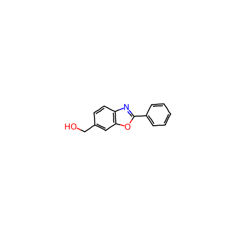 OCc1ccc2nc(-c3ccccc3)oc2c1